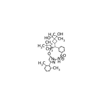 Cc1cccc(C)c1-c1cc2nc(n1)NS(=O)(=O)c1cccc(c1)C(C1CC(CO)(C(C)(C)O)C1)[C@H](CC(C)(C)C)CO2